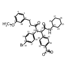 COc1cccc(CCC(=O)N(c2ccc(Br)cc2)C(C(=O)NC2CCCCC2)c2ccc([N+](=O)[O-])cc2)c1